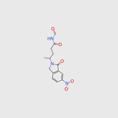 CC(CCC(=O)NC=O)N1Cc2ccc([N+](=O)[O-])cc2C1=O